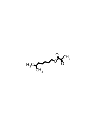 CC(=O)C(=O)OCCCCCC(C)C